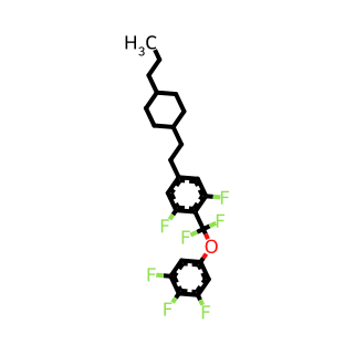 CCCC1CCC(CCc2cc(F)c(C(F)(F)Oc3cc(F)c(F)c(F)c3)c(F)c2)CC1